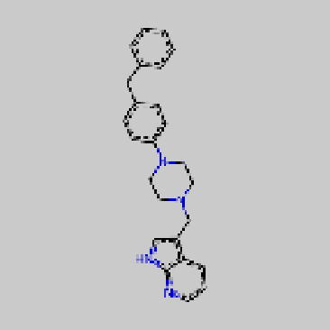 c1ccc(Cc2ccc(N3CCN(Cc4c[nH]c5ncccc45)CC3)cc2)cc1